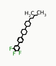 C=C(CC)CCC1CCC(C2CCC(c3ccc(-c4cc(F)c(F)c(F)c4)cc3)CC2)CC1